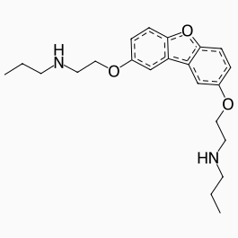 CCCNCCOc1ccc2oc3ccc(OCCNCCC)cc3c2c1